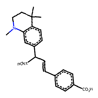 CCCCCCCCC(C=Cc1ccc(C(=O)O)cc1)c1ccc2c(c1)N(C)CCC2(C)C